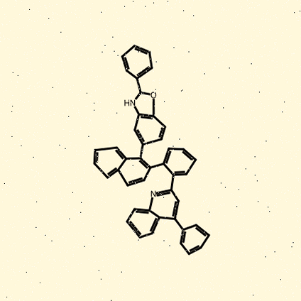 c1ccc(-c2cc(-c3ccccc3-c3ccc4ccccc4c3-c3ccc4c(c3)NC(c3ccccc3)O4)nc3ccccc23)cc1